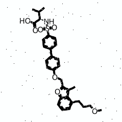 COCCCc1cccc2oc(COc3ccc(-c4ccc(S(=O)(=O)N[C@H](C(=O)O)C(C)C)cc4)cc3)c(C)c12